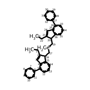 CCC1=Cc2c(-c3ccccc3)cccc2C1[CH2][GeH2][CH2]C1C(CC)=Cc2c(-c3ccccc3)cccc21